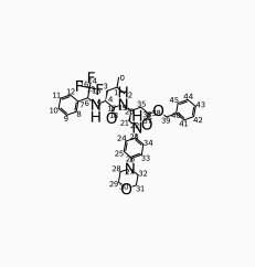 CC(C)C[C@H](N[C@@H](c1ccccc1)C(F)(F)F)C(=O)N[C@H](CNc1ccc(N2CCOCC2)cc1)CC(=O)OCc1ccccc1